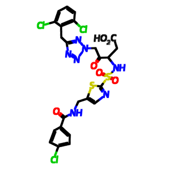 O=C(O)CC(NS(=O)(=O)c1ncc(CNC(=O)c2ccc(Cl)cc2)s1)C(=O)Cn1nnc(Cc2c(Cl)cccc2Cl)n1